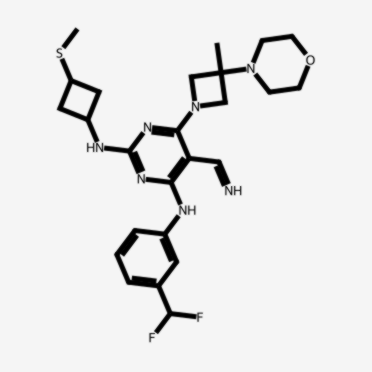 CSC1CC(Nc2nc(Nc3cccc(C(F)F)c3)c(C=N)c(N3CC(C)(N4CCOCC4)C3)n2)C1